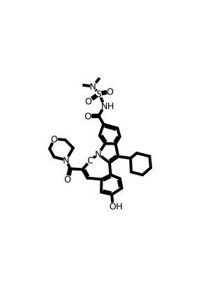 CN(C)S(=O)(=O)NC(=O)c1ccc2c(C3CCCCC3)c3n(c2c1)CC(C(=O)N1CCOCC1)=Cc1cc(O)ccc1-3